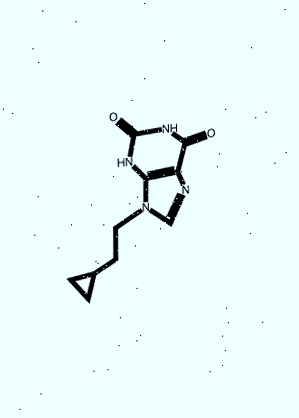 O=c1[nH]c(=O)c2ncn(CCC3CC3)c2[nH]1